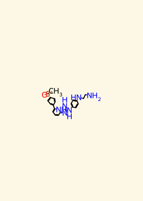 C[S+]([O-])c1ccc(-c2ccc/c(=N/C(=N)Nc3ccc(NCCN)cc3)[nH]2)cc1